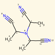 CC(C#N)N(C(C)C#N)C(C)C#N